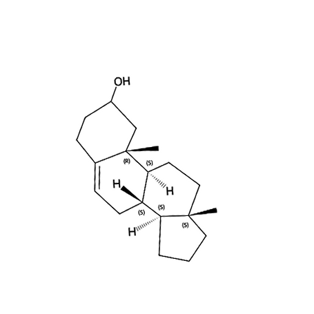 C[C@@]12CCC[C@H]1[C@@H]1CC=C3CCC(O)C[C@]3(C)[C@H]1CC2